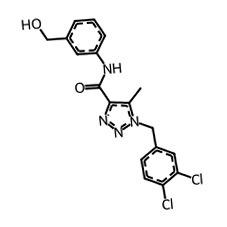 Cc1c(C(=O)Nc2cccc(CO)c2)nnn1Cc1ccc(Cl)c(Cl)c1